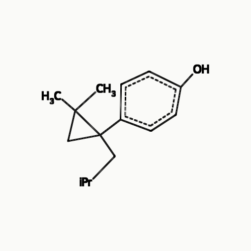 CC(C)CC1(c2ccc(O)cc2)CC1(C)C